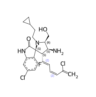 C=C(Cl)/C=C\C=C(/F)[C@H]1[C@H](N)[C@H](CO)N(CCC2CC2)[C@@]12C(=O)Nc1cc(Cl)ccc12